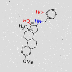 COc1ccc2c(c1)CCC1C2CC[C@@]2(C)C1CC(NCc1ccccc1O)[C@@H]2O